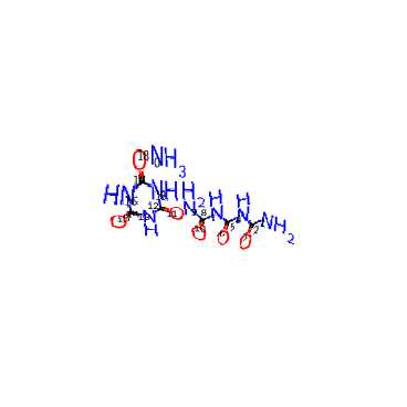 N.NC(=O)NC(=O)NC(N)=O.O=c1[nH]c(=O)[nH]c(=O)[nH]1